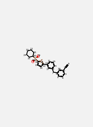 C#Cc1cccc(Cc2cccc(-c3ccc(S(=O)(=O)C4CCCCC4)s3)c2)c1